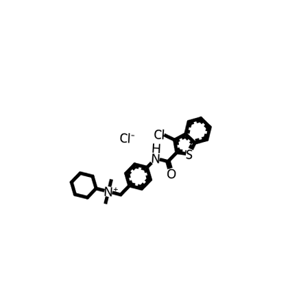 C[N+](C)(Cc1ccc(NC(=O)c2sc3ccccc3c2Cl)cc1)C1CCCCC1.[Cl-]